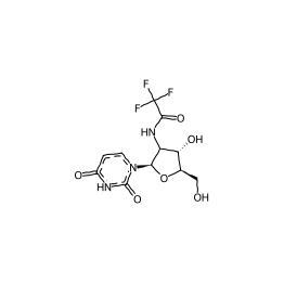 O=C(NC1[C@H](n2ccc(=O)[nH]c2=O)O[C@H](CO)[C@H]1O)C(F)(F)F